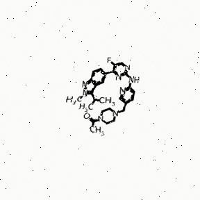 CC(=O)N1CCN(Cc2ccc(Nc3ncc(F)c(-c4ccc5nn(C)c(C(C)C)c5c4)n3)nc2)CC1